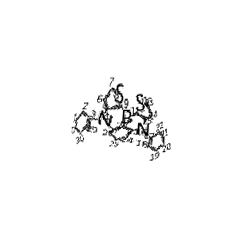 c1ccc(N2c3ccsc3B3c4sccc4N(c4ccccc4)c4cccc2c43)cc1